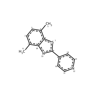 Cc1ccc(C)c2sc(-c3ccncc3)nc12